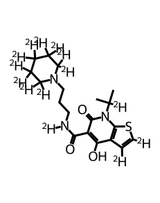 [2H]c1sc2c(c1[2H])c(O)c(C(=O)N([2H])CCCN1C([2H])([2H])C([2H])([2H])C([2H])([2H])C([2H])([2H])C1([2H])[2H])c(=O)n2C([2H])(C)C